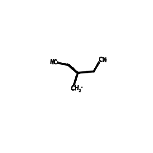 [CH2]C(CC#N)CC#N